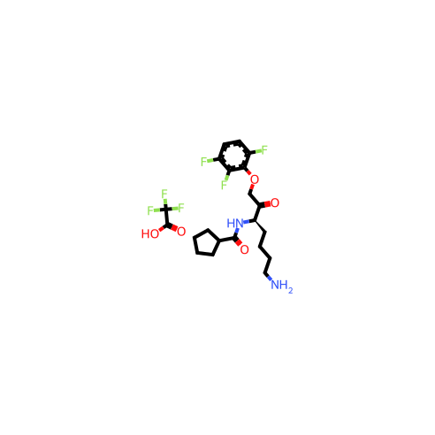 NCCCC[C@@H](NC(=O)C1CCCC1)C(=O)COc1c(F)ccc(F)c1F.O=C(O)C(F)(F)F